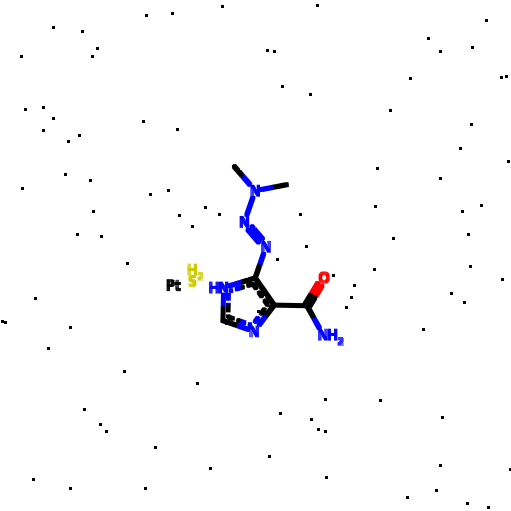 CN(C)N=Nc1[nH]cnc1C(N)=O.S.[Pt]